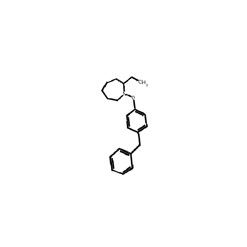 CCC1CCCCCN1Oc1ccc(Cc2ccccc2)cc1